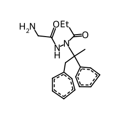 CCC(=O)N(NC(=O)CN)C(C)(Cc1ccccc1)c1ccccc1